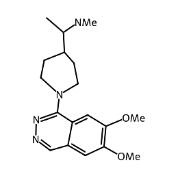 CNC(C)C1CCN(c2nncc3cc(OC)c(OC)cc23)CC1